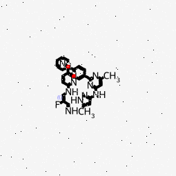 Cc1cc(Nc2cc(C)[nH]n2)nc(-c2ccc(N3CC4CC(C3)N4Cc3ccc(N/C=C(/F)C=N)nc3)nc2)n1